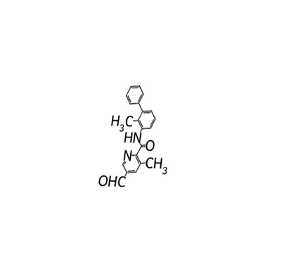 Cc1cc(C=O)cnc1C(=O)Nc1cccc(-c2ccccc2)c1C